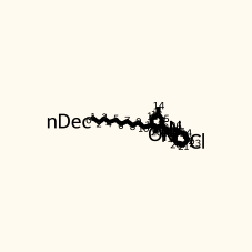 CCCCCCCCCCCCCCCCCCCCc1cc(C)cc(-n2nc3ccc(Cl)cc3n2)c1O